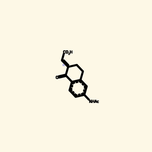 CC(=O)Nc1ccc2c(c1)CC/C(=C\C(=O)O)C2=O